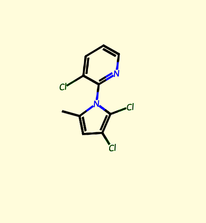 Cc1cc(Cl)c(Cl)n1-c1ncccc1Cl